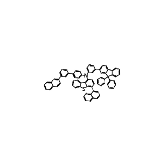 c1ccc(C2(c3ccccc3)c3ccccc3-c3ccc(-c4cccc(N(c5ccc(-c6cccc(-c7ccc8ccccc8c7)c6)cc5)c5ccc(-c6cccc7ccccc67)c6sc7ccccc7c56)c4)cc32)cc1